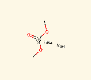 CO[AsH](=O)OC.[NaH].[NaH]